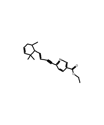 CCOC(=O)c1ccc(C#CC=CC2C(C)CC=CC2(C)C)nc1